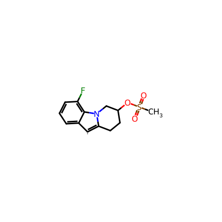 CS(=O)(=O)OC1CCc2[c]c3cccc(F)c3n2C1